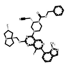 Cn1ncc2cccc(-c3ncc4c(N5CCN(C(=O)OCc6ccccc6)[C@@H](CC#N)C5)nc(OC[C@@]56CCCN5C[C@H](F)C6)nc4c3F)c21